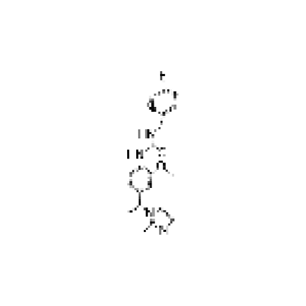 COc1cc([C@H](C)n2ccnc2C)ccc1NC(=O)NCc1ccc(F)cn1